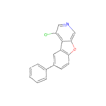 Clc1cncc2oc3ccc(-c4ccccc4)cc3c12